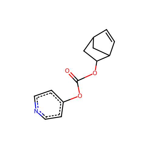 O=C(Oc1ccncc1)OC1CC2C=CC1C2